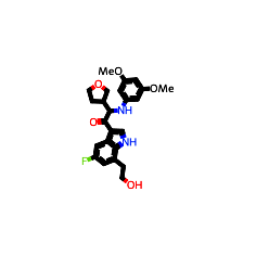 COc1cc(NC(C(=O)c2c[nH]c3c(CCO)cc(F)cc23)C2CCOC2)cc(OC)c1